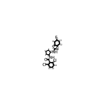 O=C(N[C@H]1CCC[C@@H]1Nc1nc2ccc(F)cc2s1)c1c(Cl)cccc1Cl